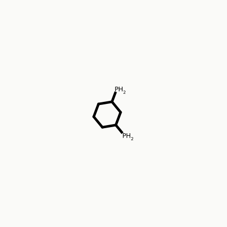 PC1CCCC(P)C1